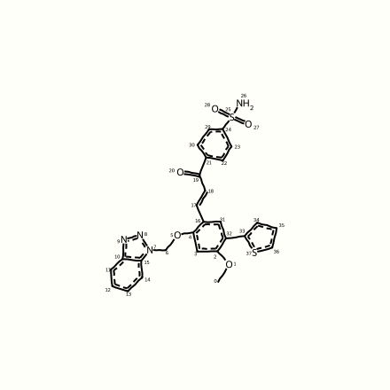 COc1cc(OCn2nnc3ccccc32)c(C=CC(=O)c2ccc(S(N)(=O)=O)cc2)cc1-c1cccs1